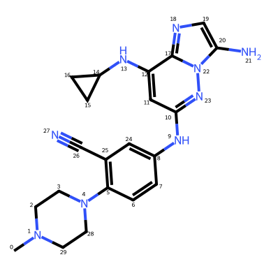 CN1CCN(c2ccc(Nc3cc(NC4CC4)c4ncc(N)n4n3)cc2C#N)CC1